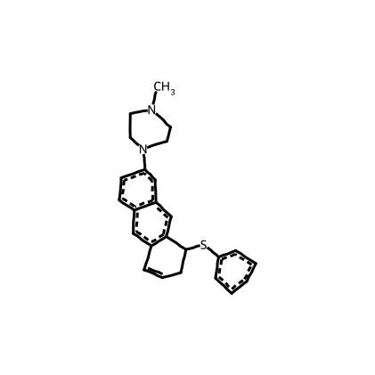 CN1CCN(c2ccc3cc4c(cc3c2)C(Sc2ccccc2)CC=C4)CC1